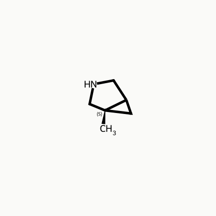 C[C@@]12CNCC1C2